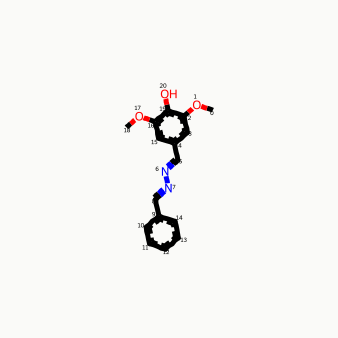 COc1cc(C=NN=Cc2ccccc2)cc(OC)c1O